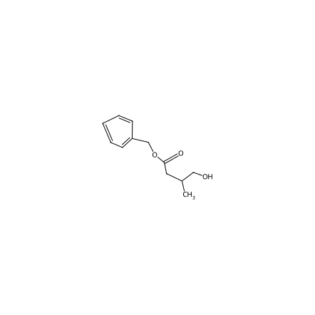 CC(CO)CC(=O)OCc1ccccc1